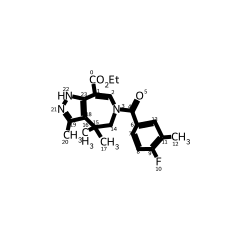 CCOC(=O)C1=CN(C(=O)c2ccc(F)c(C)c2)CC(C)(C)c2c(C)n[nH]c21